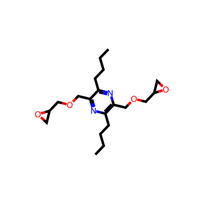 CCCCc1nc(COCC2CO2)c(CCCC)nc1COCC1CO1